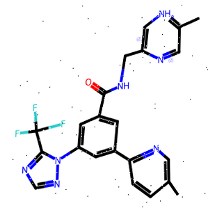 C=C(C)/C=N\C(=C/N)CNC(=O)c1cc(-c2ccc(C)cn2)cc(-n2ncnc2C(F)(F)F)c1